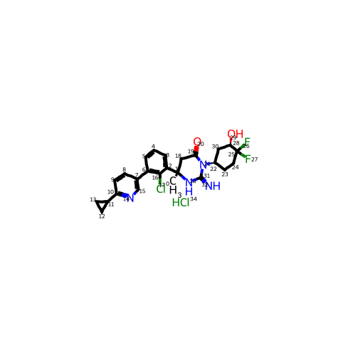 C[C@@]1(c2cccc(-c3ccc(C4CC4)nc3)c2Cl)CC(=O)N([C@@H]2CCC(F)(F)[C@H](O)C2)C(=N)N1.Cl